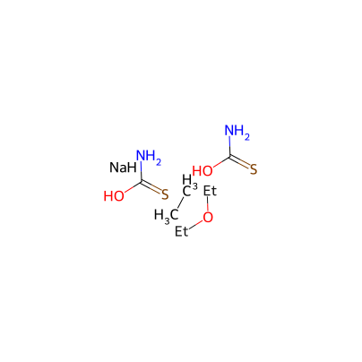 CC.CCOCC.NC(O)=S.NC(O)=S.[NaH]